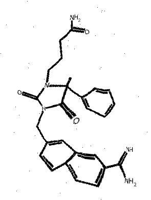 CC1(c2ccccc2)C(=O)N(Cc2ccc3ccc(C(=N)N)cc3c2)C(=O)N1CCCC(N)=O